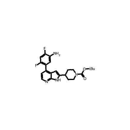 CC(C)(C)OC(=O)N1CCC(c2cc3c(-c4cc(N)c(F)cc4F)ccnc3[nH]2)CC1